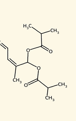 C=CC=C(C)C(OC(=O)C(C)C)OC(=O)C(C)C